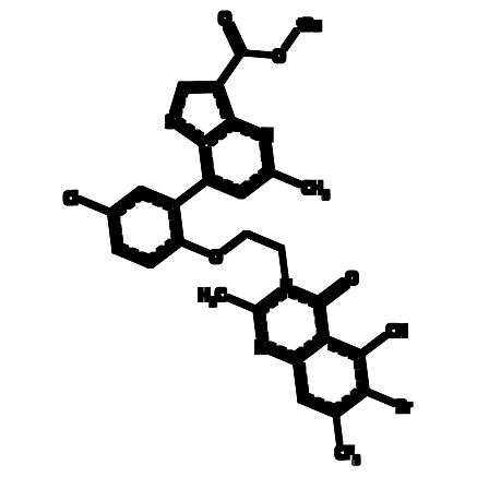 Cc1cc(-c2cc(Cl)ccc2OCCn2c(C)nc3cc(C(F)(F)F)c(Br)c(C#N)c3c2=O)c2scc(C(=O)OC(C)(C)C)c2n1